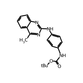 Cc1nc(Nc2ccc(NC(=O)OC(C)(C)C)cc2)nc2ccccc12